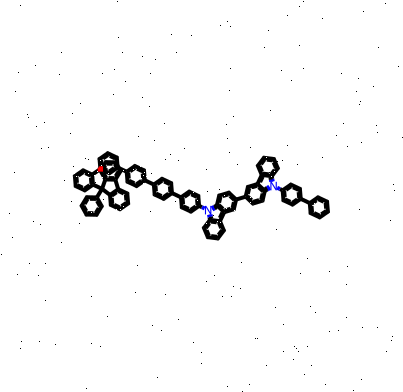 c1ccc(-c2ccc(-n3c4ccccc4c4cc(-c5ccc6c(c5)c5ccccc5n6-c5ccc(-c6ccc(-c7ccc(-c8cccc(-c9ccccc9C9(c%10ccccc%10)c%10ccccc%10-c%10ccccc%109)c8)cc7)cc6)cc5)ccc43)cc2)cc1